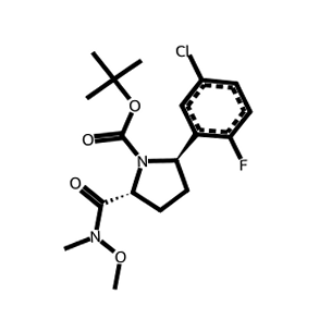 CON(C)C(=O)[C@H]1CC[C@H](c2cc(Cl)ccc2F)N1C(=O)OC(C)(C)C